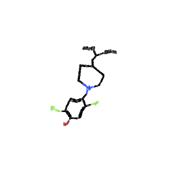 COC(OC)C1CCN(c2cc(F)c(Br)cc2F)CC1